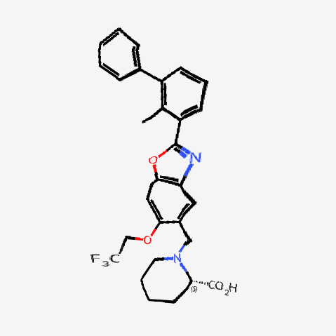 Cc1c(-c2ccccc2)cccc1-c1nc2cc(CN3CCCC[C@H]3C(=O)O)c(OCC(F)(F)F)cc2o1